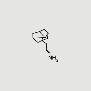 NC=CCC12CC3CC(CC(C3)C1)C2